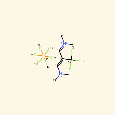 CN(C)/C=C(/C=[N+](C)C)C(F)(F)F.F[P-](F)(F)(F)(F)F